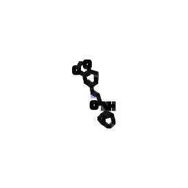 O=C(/C=C/c1ccc2c(c1)OCO2)NC1CC2CCC1C2